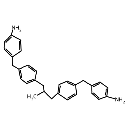 CC(Cc1ccc(Cc2ccc(N)cc2)cc1)Cc1ccc(Cc2ccc(N)cc2)cc1